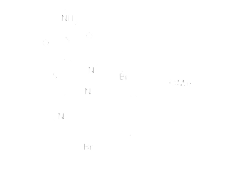 COc1cccc(-c2c(Br)nc3sc(S(N)(=O)=O)nn23)c1Br